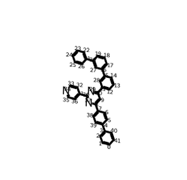 c1ccc(-c2ccc(-c3cc(-c4cccc(-c5cccc(-c6ccccc6)c5)c4)nc(-c4ccncc4)n3)cc2)cc1